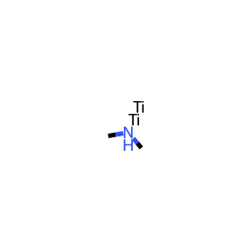 CNC.[Ti].[Ti]